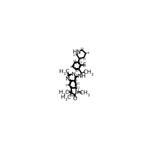 Cc1nc(N[C@H](C)c2cccc(C3CCCNC3)c2F)c2cc3c(cc2n1)C(C)(C)C(=O)N3C